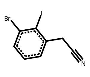 N#CCc1cccc(Br)c1I